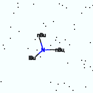 [CH2]C(CC)N(CCCC)CCCC